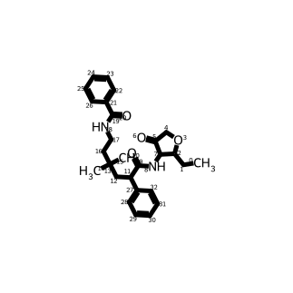 CCC1OCC(=O)C1NC(=O)C(CC(C)(C)CCNC(=O)c1ccccc1)c1ccccc1